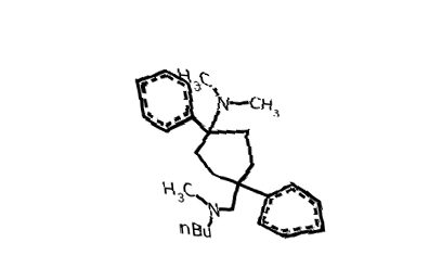 CCCCN(C)CC1(c2ccccc2)CCC(c2ccccc2)(N(C)C)CC1